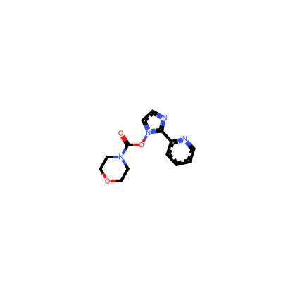 O=C(On1ccnc1-c1ccccn1)N1CCOCC1